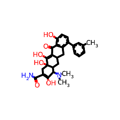 Cc1cccc(-c2ccc(O)c3c2CC2CC4C(N(C)C)C(O)=C(C(N)=O)CC4(O)C(O)=C2C3=O)c1